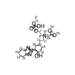 CCOP(=O)(O)OCC[N+](C)(CCc1ccc(O)c(-n2nc3ccccc3n2)c1)CC(OC)OC